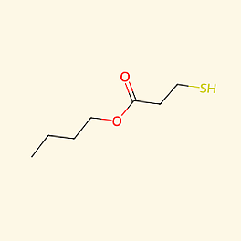 CCCCOC(=O)CCS